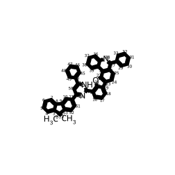 CC1(C)c2ccccc2-c2cc(C3=NC(c4cccc5c4oc4c5ccc5c(-c6ccccc6)nc6ccccc6c54)NC(c4ccccc4)=C3)ccc21